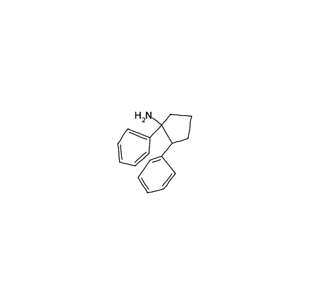 NC1(c2ccccc2)CCCC1c1ccccc1